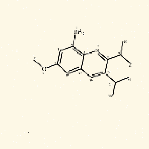 COc1cc(N)c2nc(C(C)C)c(C(C)C)cc2c1